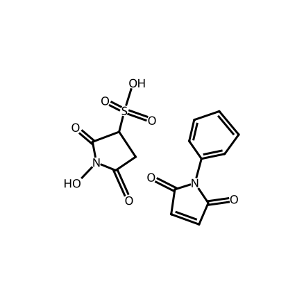 O=C1C=CC(=O)N1c1ccccc1.O=C1CC(S(=O)(=O)O)C(=O)N1O